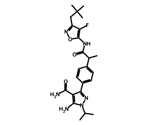 CC(C(=O)Nc1onc(CC(C)(C)C)c1F)c1ccc(-c2nn(C(C)C)c(N)c2C(N)=O)cc1